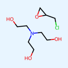 ClCC1CO1.OCCN(CCO)CCO